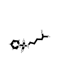 O=S(=O)(OCCCCC(F)F)[n+]1ccccc1